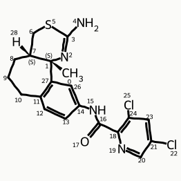 C[C@]12N=C(N)SC[C@H]1CCCc1ccc(NC(=O)c3ncc(Cl)cc3Cl)cc12